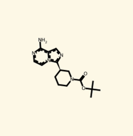 CC(C)(C)OC(=O)N1CCC[C@@H](c2ncc3c(N)nccn23)C1